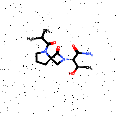 CC(C)C(=O)N1CCC[C@@]12CN([C@H](C(N)=O)[C@@H](C)O)C2=O